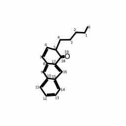 CCCCCC1C=Cc2cc3ccccc3cc2C1=O